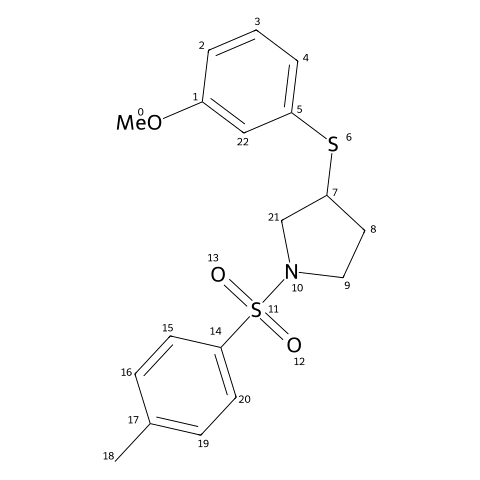 COc1cccc(SC2CCN(S(=O)(=O)c3ccc(C)cc3)C2)c1